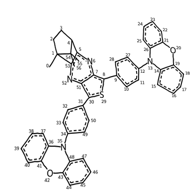 CC12CCC(c3nc4c(-c5ccc(N6c7ccccc7Oc7ccccc76)cc5)sc(-c5ccc(N6c7ccccc7Oc7ccccc76)cc5)c4nc31)C2(C)C